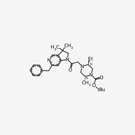 CC[C@H]1CN(C(=O)OC(C)(C)C)[C@H](C)CN1CC(=O)N1CC(C)(C)c2cnc(Cc3ccccc3)cc21